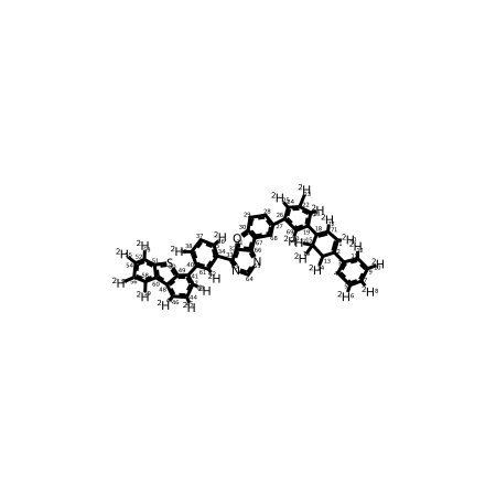 [2H]C1=C(c2cc([2H])c([2H])c([2H])c2[2H])C([2H])C([2H])([2H])C(c2c([2H])c([2H])c([2H])c(-c3ccc4oc5c(-c6c([2H])cc([2H])c(-c7c([2H])c([2H])c([2H])c8c7sc7c([2H])c([2H])c([2H])c([2H])c78)c6[2H])ncnc5c4c3)c2[2H])=C1[2H]